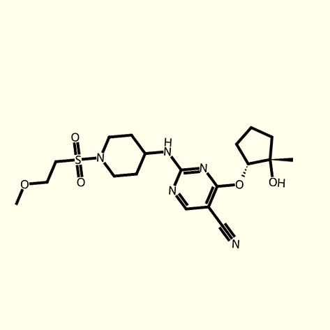 COCCS(=O)(=O)N1CCC(Nc2ncc(C#N)c(O[C@@H]3CCC[C@]3(C)O)n2)CC1